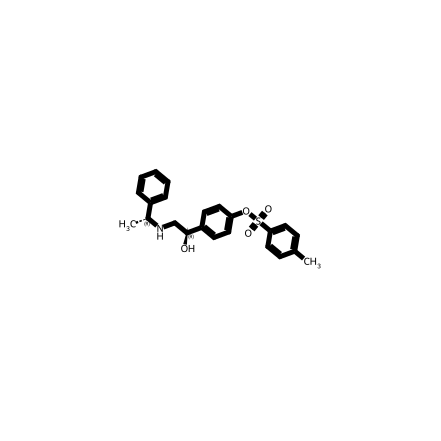 Cc1ccc(S(=O)(=O)Oc2ccc([C@@H](O)CN[C@H](C)c3ccccc3)cc2)cc1